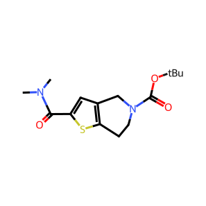 CN(C)C(=O)c1cc2c(s1)CCN(C(=O)OC(C)(C)C)C2